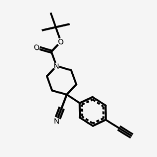 C#Cc1ccc(C2(C#N)CCN(C(=O)OC(C)(C)C)CC2)cc1